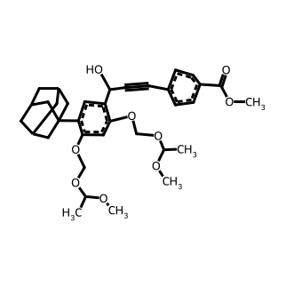 COC(=O)c1ccc(C#CC(O)c2cc(C34CC5CC(CC(C5)C3)C4)c(OCOC(C)OC)cc2OCOC(C)OC)cc1